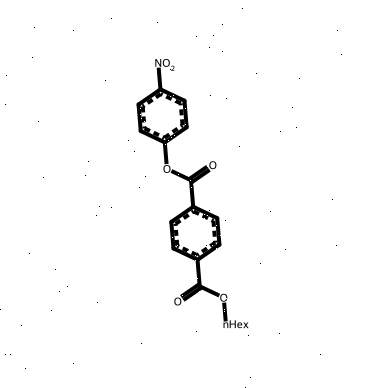 CCCCCCOC(=O)c1ccc(C(=O)Oc2ccc([N+](=O)[O-])cc2)cc1